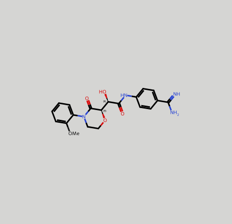 COc1ccccc1N1CCO[C@H]([C@@H](O)C(=O)Nc2ccc(C(=N)N)cc2)C1=O